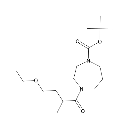 CCOCCC(C)C(=O)N1CCCN(C(=O)OC(C)(C)C)CC1